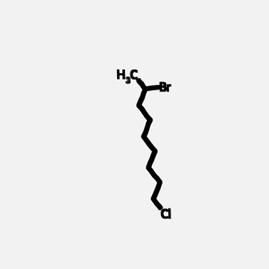 CC(Br)CCCCCCCCl